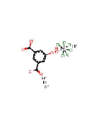 O.O=C([O-])c1cc(O)cc(C(=O)[O-])c1.[Cl][Pt-2]([Cl])([Cl])([Cl])([Cl])[Cl].[H+].[H+].[H+].[H+]